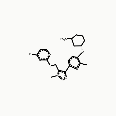 Cc1nc(-c2nnn(C)c2CNc2nccc(C(C)C)n2)ccc1O[C@H]1CCCC(C(=O)O)C1